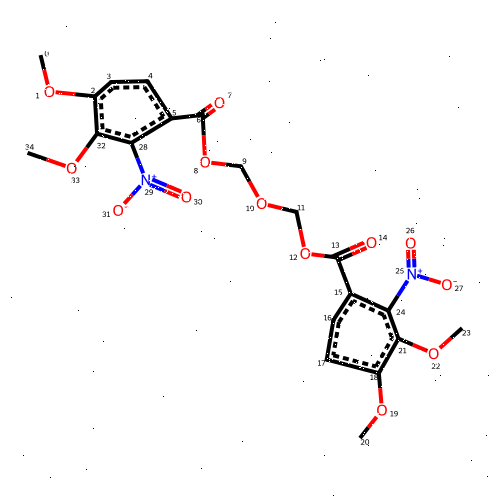 COc1ccc(C(=O)OCOCOC(=O)c2ccc(OC)c(OC)c2[N+](=O)[O-])c([N+](=O)[O-])c1OC